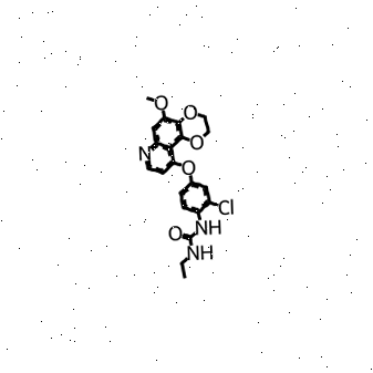 CCNC(=O)Nc1ccc(Oc2ccnc3cc(OC)c4c(c23)OCCO4)cc1Cl